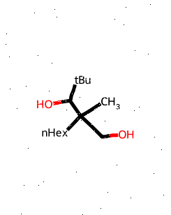 CCCCCCC(C)(CO)C(O)C(C)(C)C